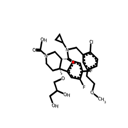 COCCc1ccc(Cl)c(CN(C(=O)[C@H]2CN(C(=O)O)CC[C@]2(OCC(O)CO)c2ccc(F)c(F)c2)C2CC2)c1